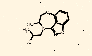 CC(C)CN1c2noc3cccc(c23)OCC1O